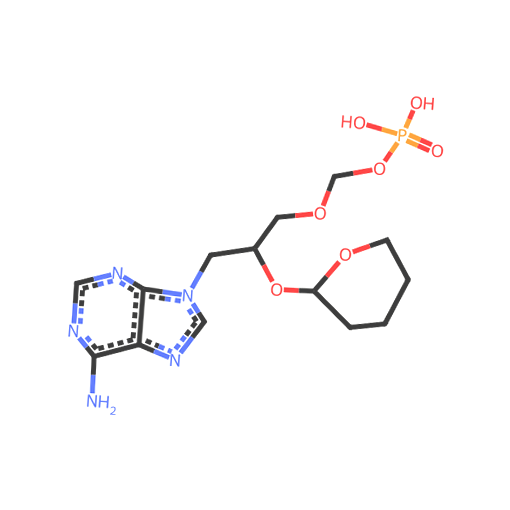 Nc1ncnc2c1ncn2CC(COCOP(=O)(O)O)OC1CCCCO1